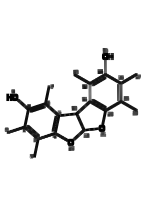 Cc1c(C)c2c(c(C)c1O)C1c3c(C)c(O)c(C)c(C)c3OC1O2